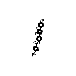 CCOc1ccc(C(=O)Oc2ccc(-c3ccc(-c4ccc(OC)cc4)c(F)c3F)cc2)cc1F